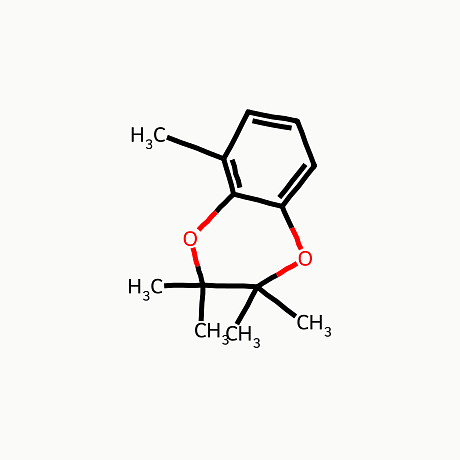 Cc1cccc2c1OC(C)(C)C(C)(C)O2